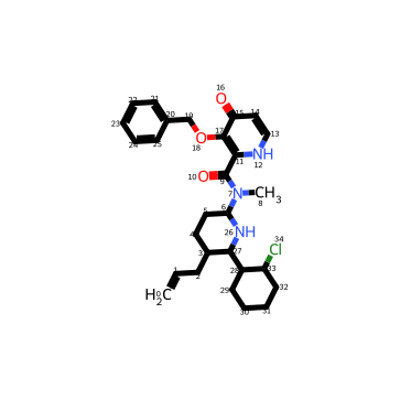 C=CCC1CCC(N(C)C(=O)c2[nH]ccc(=O)c2OCc2ccccc2)NC1C1CCCCC1Cl